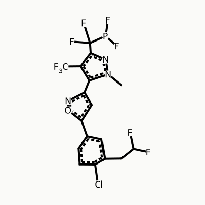 Cn1nc(C(F)(F)P(F)F)c(C(F)(F)F)c1-c1cc(-c2ccc(Cl)c(CC(F)F)c2)on1